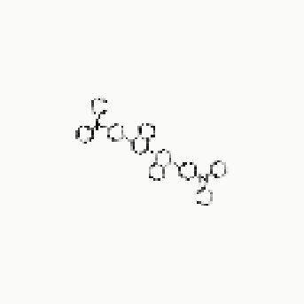 c1ccc(N(c2ccccc2)c2ccc(-c3ccc(-c4ccc(-c5ccc(N(c6ccccc6)c6ccccc6)cc5)c5ccccc45)c4ccccc34)cc2)cc1